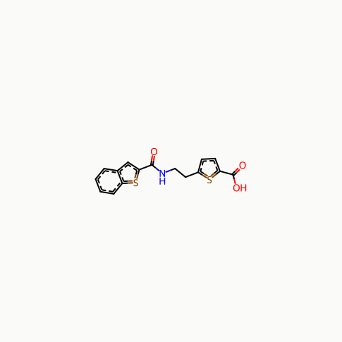 O=C(O)c1ccc(CCNC(=O)c2cc3ccccc3s2)s1